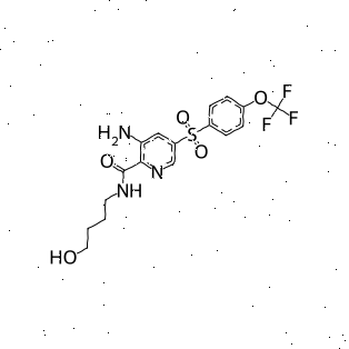 Nc1cc(S(=O)(=O)c2ccc(OC(F)(F)F)cc2)cnc1C(=O)NCCCCO